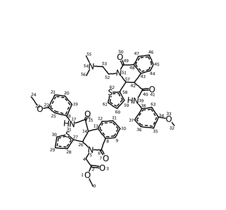 COC(=O)CN1C(=O)c2ccccc2C(C(=O)Nc2cccc(OC)c2)C1c1cccs1.COc1cccc(NC(=O)C2c3ccccc3C(=O)N(CCN(C)C)C2c2cccs2)c1